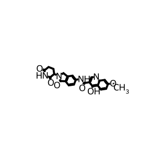 COc1ccc2c(O)c(C(=O)Nc3ccc4c(c3)CN(C3CCC(=O)NC3=O)C4=O)cnc2c1